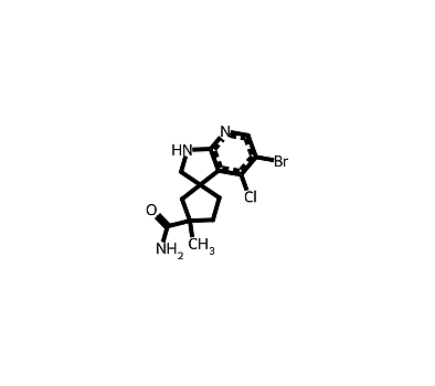 CC1(C(N)=O)CCC2(CNc3ncc(Br)c(Cl)c32)C1